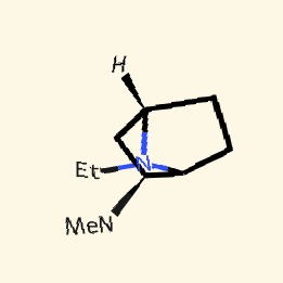 CCN1C2CC[C@H]1C[C@@H]2NC